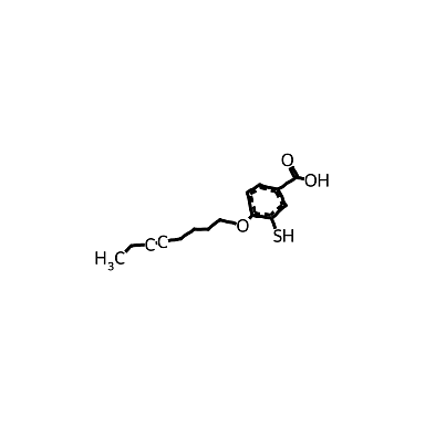 CCCCCCCCOc1ccc(C(=O)O)cc1S